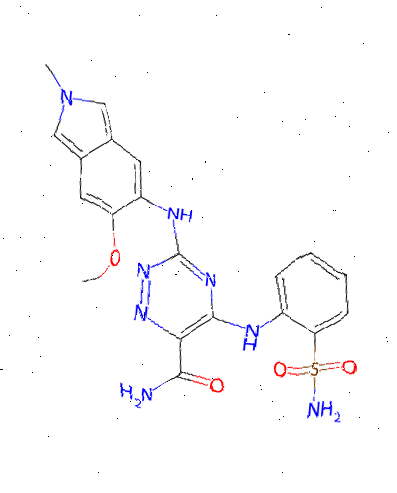 COc1cc2cn(C)cc2cc1Nc1nnc(C(N)=O)c(Nc2ccccc2S(N)(=O)=O)n1